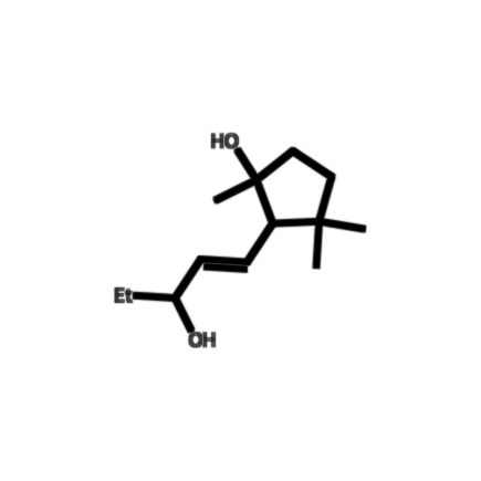 CCC(O)C=CC1C(C)(C)CCC1(C)O